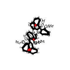 COc1ccccc1C(O)(c1ccccc1OC)[C@H](NC(=O)CC(=O)N[C@H](c1ccccc1)C(O)(c1ccccc1OC)c1ccccc1OC)c1ccccc1